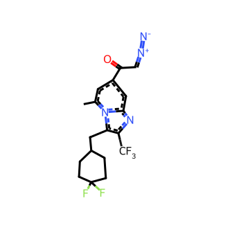 Cc1cc(C(=O)C=[N+]=[N-])cc2nc(C(F)(F)F)c(CC3CCC(F)(F)CC3)n12